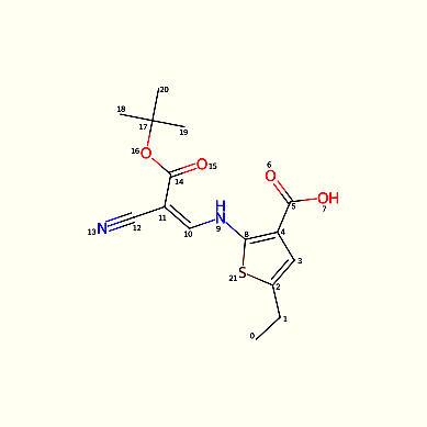 CCc1cc(C(=O)O)c(NC=C(C#N)C(=O)OC(C)(C)C)s1